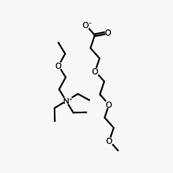 CCOCC[N+](CC)(CC)CC.COCCOCCOCCC(=O)[O-]